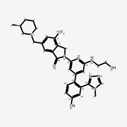 C[C@H]1CCCN(Cc2cc3c(c(C(F)(F)F)c2)CN(c2cc(-c4ccc(C#N)cc4-c4nncn4C)cc(NCCO)n2)C3=O)C1